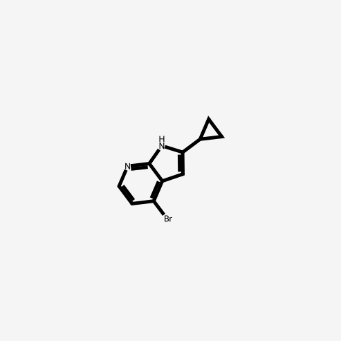 Brc1ccnc2[nH]c(C3CC3)cc12